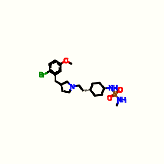 CNS(=O)(=O)N[C@H]1CC[C@H](CCN2CCC(Cc3cc(OC)ccc3Br)C2)CC1